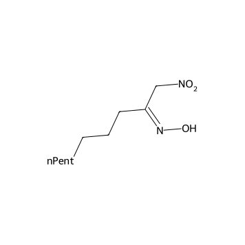 CCCCCCCCC(C[N+](=O)[O-])=NO